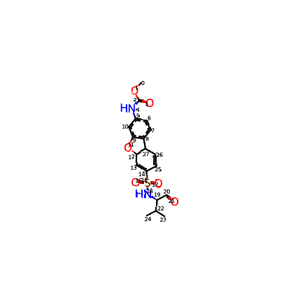 COC(=O)Nc1ccc2c(c1)OC1C=C(S(=O)(=O)N[C@@H](C=O)C(C)C)C=CC21